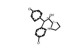 O[C@H](C(c1ccc(Cl)cc1)c1ccc(Cl)cc1)[C@@H]1CCCN1